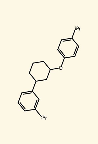 CC(C)c1ccc(OC2CCCC(c3cccc(C(C)C)c3)C2)cc1